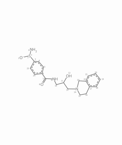 N[S+]([O-])c1ccc(C(=O)NCC(O)CN2CCc3ccccc3C2)cc1